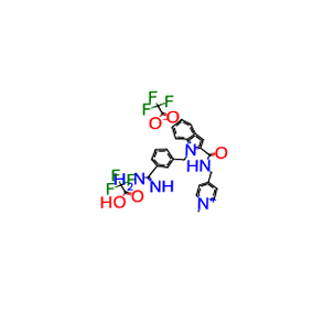 C[n+]1ccc(CNC(=O)c2cc3ccccc3n2Cc2cccc(C(=N)N)c2)cc1.O=C(O)C(F)(F)F.O=C([O-])C(F)(F)F